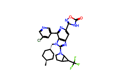 C[C@H]1CC[C@H](Cn2c(N3CCC4C3C4C(F)(F)F)nc3cc(-c4noc(=O)[nH]4)nc(-c4cncc(Cl)c4)c32)CC1